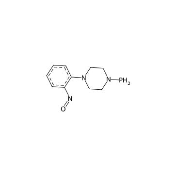 O=Nc1ccccc1N1CCN(P)CC1